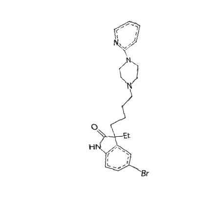 CCC1(CCCCN2CCN(c3ccccn3)CC2)C(=O)Nc2ccc(Br)cc21